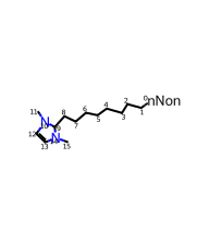 CCCCCCCCCCCCCCCCCC1N(C)C=CN1C